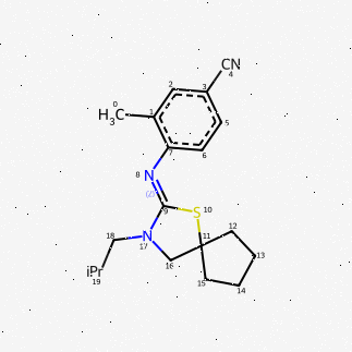 Cc1cc(C#N)ccc1/N=C1\SC2(CCCC2)CN1CC(C)C